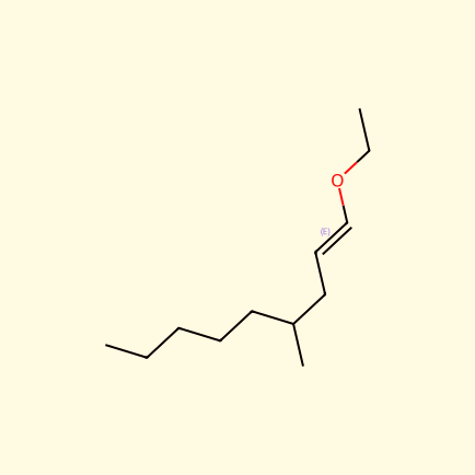 CCCCCC(C)C/C=C/OCC